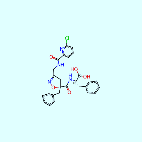 O=C(NCC1=NOC(Cc2ccccc2)(C(=O)N[C@@H](Cc2ccccc2)B(O)O)C1)c1cccc(Cl)n1